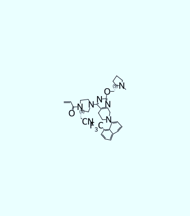 C=CC(=O)N1CCN(c2nc(OC[C@@H]3CCCN3C)nc3c2CCN(c2cccc4cccc(C(F)(F)F)c24)C3)C[C@@H]1CC#N